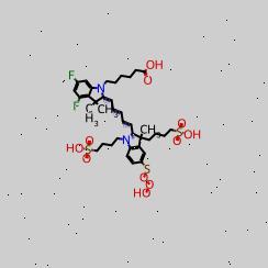 CC1(CCCCS(=O)(=O)O)C(/C=C/C=C/C=C2/N(CCCCCC(=O)O)c3cc(F)cc(F)c3C2(C)C)=[N+](CCCCS(=O)(=O)O)c2ccc(SOOO)cc21